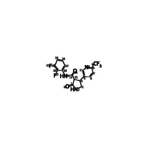 O=C1NCC(c2ccc(C(F)(F)F)nc2)C1C(=O)Nc1cccc(F)c1F